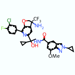 COc1cc(C(=O)NCC(O)(c2cc3c(c(-c4ccc(F)c(Cl)c4)n2)OC[C@@]3(N)C(F)(F)F)C2CC2)cc2cn(C3CC3)nc12